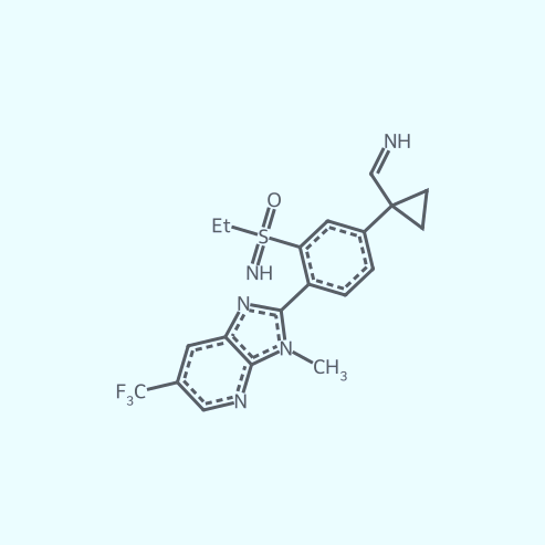 CCS(=N)(=O)c1cc(C2(C=N)CC2)ccc1-c1nc2cc(C(F)(F)F)cnc2n1C